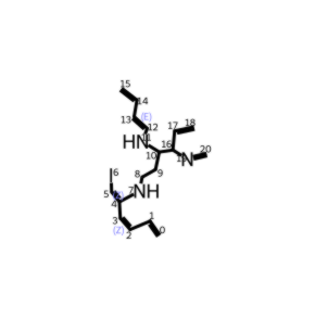 C=C/C=C\C(=C\I)NCCC(N/C=C/C=C)C(C=C)N=C